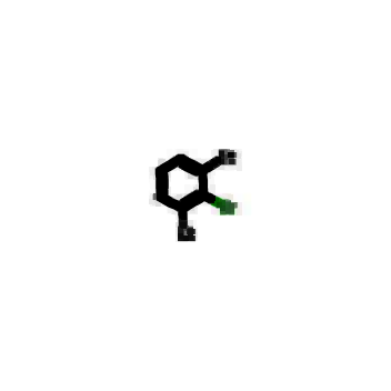 CCc1[c]ccc(CC)c1Br